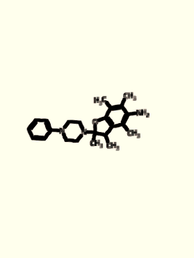 Cc1c(C)c2c(c(C)c1N)C(C)C(C)(N1CCN(c3ccccc3)CC1)O2